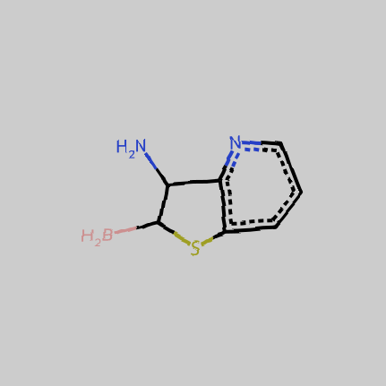 BC1Sc2cccnc2C1N